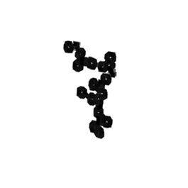 CN(c1ccccc1)c1ccc2c(c1)c1ccccc1n2-c1ccc(-c2ccc3c(N(C)c4ccc(-n5c6ccccc6c6c(-c7cc(-c8ccccc8)ccc7N(C)c7ccc8c(c7)c7ccccc7n8-c7cccc8ccccc78)cccc65)cc4)cc4ccccc4c3c2)cc1